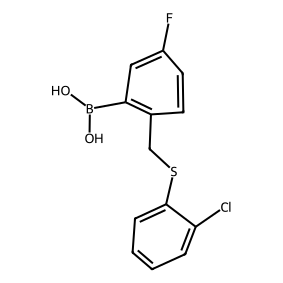 OB(O)c1cc(F)ccc1CSc1ccccc1Cl